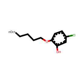 CCCCCCCCCCCCOc1ccc(Cl)cc1O